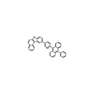 c1ccc(-c2c3ccccc3c(-c3ccc(-c4ccc5sc6ccc7ccccc7c6c5c4)cn3)c3ccccc23)cc1